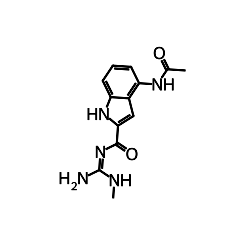 CNC(N)=NC(=O)c1cc2c(NC(C)=O)cccc2[nH]1